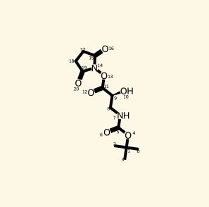 CC(C)(C)OC(=O)NC[C@H](O)C(=O)ON1C(=O)CCC1=O